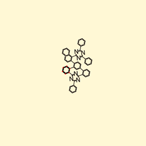 c1ccc(-c2nc(-c3ccccc3)nc(-c3ccccc3-c3ccc(-c4ccc5ccccc5c4-c4nc(-c5ccccc5)nc(-c5ccccc5)n4)c(-c4ccccc4)c3)n2)cc1